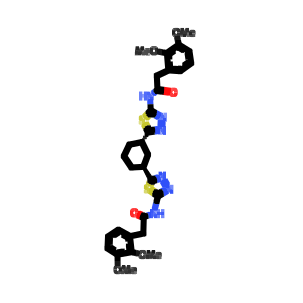 COc1cccc(CC(=O)Nc2nnc([C@H]3CCC[C@H](c4nnc(NC(=O)Cc5cccc(OC)c5OC)s4)C3)s2)c1OC